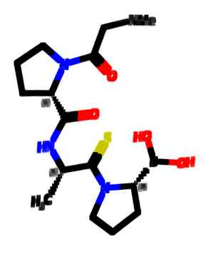 CNCC(=O)N1CCC[C@H]1C(=O)N[C@@H](C)C(=S)N1CCC[C@H]1B(O)O